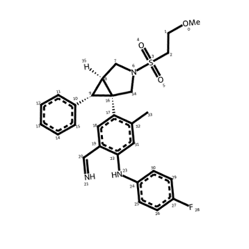 COCCS(=O)(=O)N1C[C@@H]2[C@@H](c3ccccc3)[C@]2(c2cc(C=N)c(Nc3ccc(F)cc3)cc2C)C1